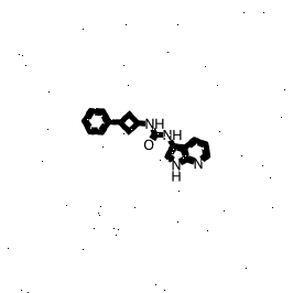 O=C(Nc1c[nH]c2ncccc12)NC1CC(c2ccccc2)C1